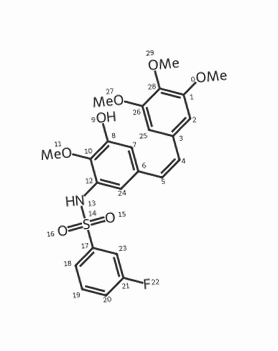 COc1cc(/C=C\c2cc(O)c(OC)c(NS(=O)(=O)c3cccc(F)c3)c2)cc(OC)c1OC